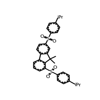 CC(C)c1ccc(S(=O)(=O)c2ccc3c(c2)C(C)(C)c2c-3cccc2S(=O)(=O)c2ccc(C(C)C)cc2)cc1